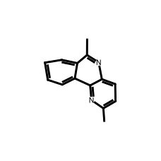 Cc1ccc2nc(C)c3ccccc3c2n1